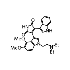 CCN(CC)CCn1cc(C2=C(c3c[nH]c4ccccc34)C(=O)NC2=O)c2c(OC)c(OC)ccc21